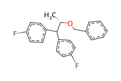 C[C@H](OCc1ccccc1)C(c1ccc(F)cc1)c1ccc(F)cc1